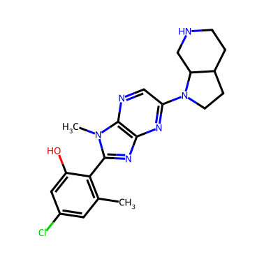 Cc1cc(Cl)cc(O)c1-c1nc2nc(N3CCC4CCNCC43)cnc2n1C